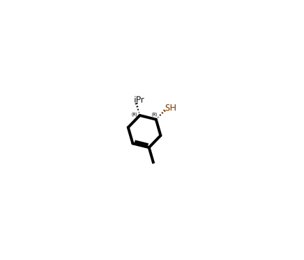 CC1=CC[C@H](C(C)C)[C@H](S)C1